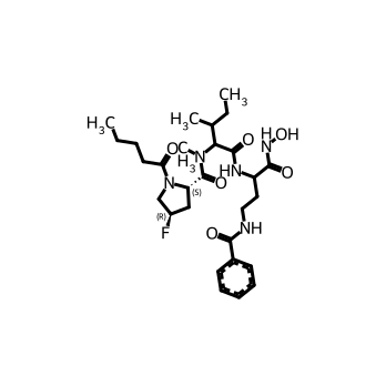 CCCCC(=O)N1C[C@H](F)C[C@H]1C(=O)N(C)C(C(=O)NC(CCNC(=O)c1ccccc1)C(=O)NO)C(C)CC